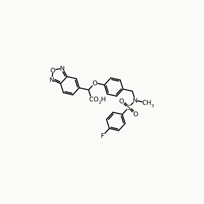 CN(Cc1ccc(OC(C(=O)O)c2ccc3nonc3c2)cc1)S(=O)(=O)c1ccc(F)cc1